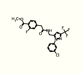 COC(=O)c1ccc(CC(=O)NCc2cc(C(F)(F)F)nn2-c2cccc(Cl)c2)cc1F